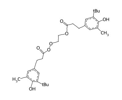 Cc1cc(CCC(=O)OCCOOC(=O)CCc2cc(C)c(O)c(C(C)(C)C)c2)cc(C(C)(C)C)c1O